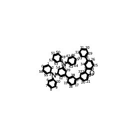 C1=CCC(N(c2ccccc2)C2C=C(c3cccc(-c4ccc5oc6ccc(-c7ccccc7)cc6c5c4)c3)C=C(N(c3ccccc3)c3ccccc3)C2)C=C1